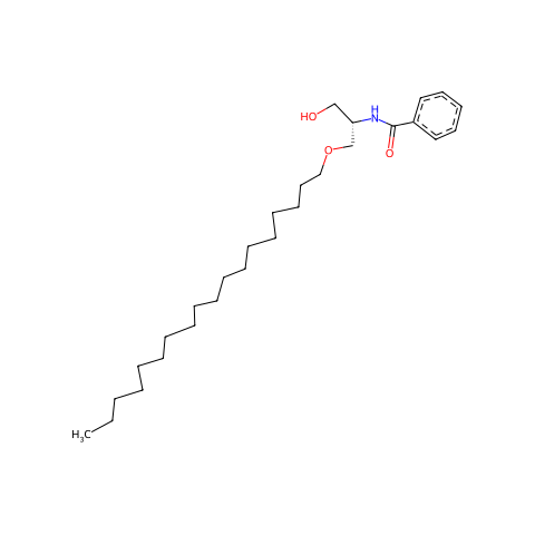 CCCCCCCCCCCCCCCCCCOC[C@H](CO)NC(=O)c1ccccc1